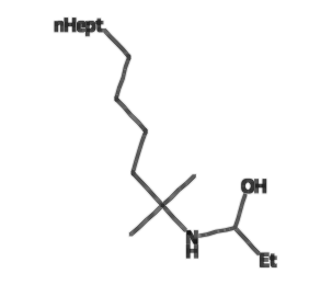 CCCCCCCCCCCC(C)(C)NC(O)CC